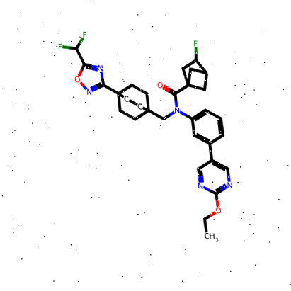 CCOc1ncc(-c2cccc(N(CC34CCC(c5noc(C(F)F)n5)(CC3)CC4)C(=O)C34CC(F)C(C3)C4)c2)cn1